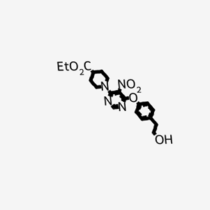 CCOC(=O)C1CCN(c2ncnc(Oc3ccc(CCO)cc3)c2[N+](=O)[O-])CC1